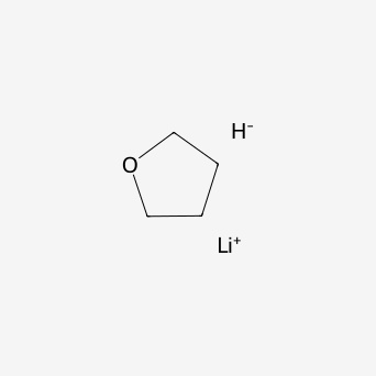 C1CCOC1.[H-].[Li+]